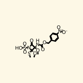 CO[C@@]1(NC(=O)OCc2ccc([N+](=O)[O-])cc2)C(=O)N(S(=O)(=O)O)[C@@]1(OC)SC